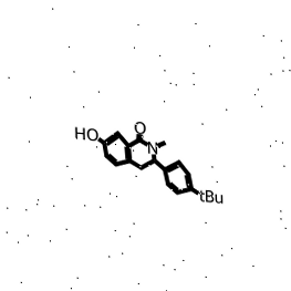 CN1C(=O)c2cc(O)ccc2CC1c1ccc(C(C)(C)C)cc1